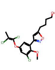 COc1c(Cl)cc(OC(Cl)=C(C)Cl)cc1-c1cc(CCCCO)on1